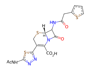 CC(=O)Nc1nnc(C2=C(C(=O)O)N3C(=O)C(NC(=O)Cc4cccs4)[C@H]3SC2)s1